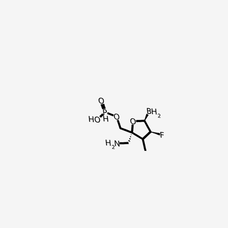 B[C@@H]1O[C@](CN)(CO[PH](=O)O)C(C)[C@@H]1F